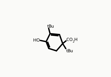 CC(C)(C)C1=CC(C(=O)O)(C(C)(C)C)CC=C1O